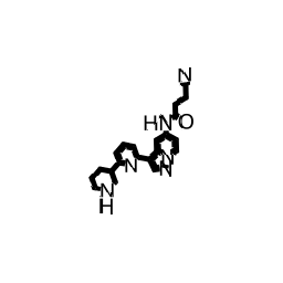 N#CCCC(=O)Nc1ccn2ncc(-c3cccc(C4CCCNC4)n3)c2c1